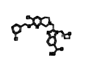 O=C(O)c1ccc2nc(CN3CCc4cc(Cl)c(OCc5cccc(Cl)c5)nc4C3)n(C[C@@H]3CCO3)c2c1